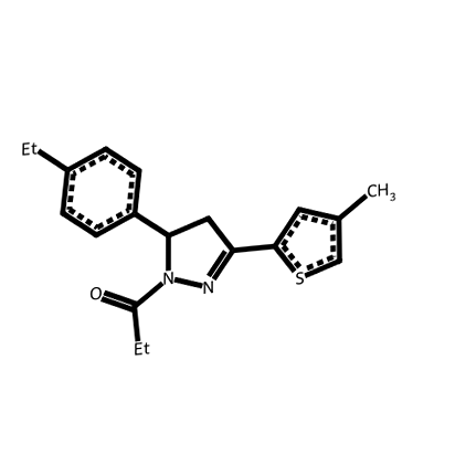 CCC(=O)N1N=C(c2cc(C)cs2)CC1c1ccc(CC)cc1